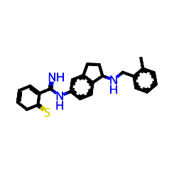 Cc1ccccc1CNC1CCc2cc(NC(=N)C3=CC=CCC3=S)ccc21